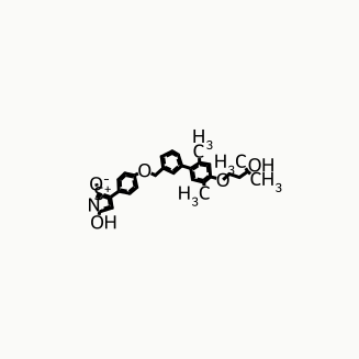 Cc1cc(-c2cccc(COc3ccc(-c4cc(O)n[s+]4[O-])cc3)c2)c(C)cc1OCCC(C)(C)O